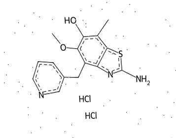 COc1c(O)c(C)c2sc(N)nc2c1Cc1cccnc1.Cl.Cl